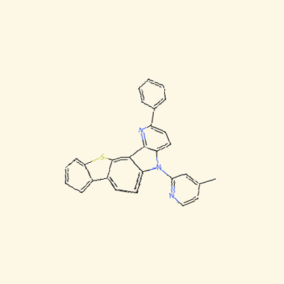 Cc1ccnc(-n2c3ccc(-c4ccccc4)nc3c3c4sc5ccccc5c4ccc32)c1